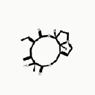 C=C1C/C(=C\C)C(=O)O[C@@H]2CC[N+]3([O-])CC=C(COC(=O)[C@]1(C)O)[C@H]23